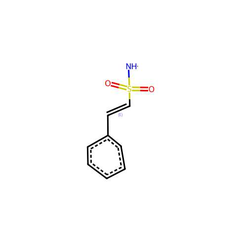 [NH]S(=O)(=O)/C=C/c1ccccc1